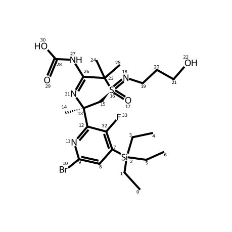 CC[Si](CC)(CC)c1cc(Br)nc([C@]2(C)C[S@](=O)(=NCCCO)C(C)(C)C(NC(=O)O)=N2)c1F